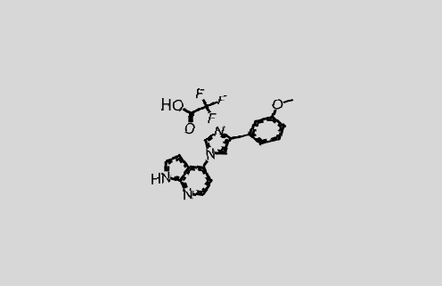 COc1cccc(-c2cn(-c3ccnc4[nH]ccc34)cn2)c1.O=C(O)C(F)(F)F